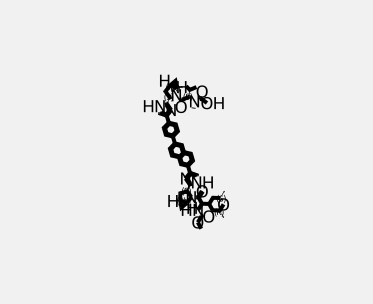 COC(=O)NC(C(=O)N1[C@@H]2C[C@H]2C[C@H]1c1nc(-c2ccc3cc(-c4ccc(-c5c[nH]c([C@@H]6C[C@H]7C[C@H]7N6C(=O)[C@H](C(C)C)N(C)C(=O)O)n5)cc4)ccc3c2)c[nH]1)C1C[C@@H](C)O[C@@H](C)C1